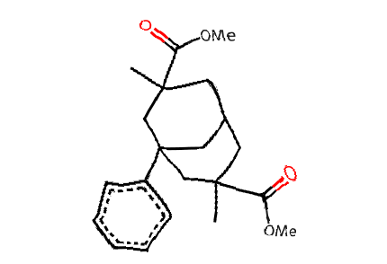 COC(=O)C1(C)CC2CC(C)(C(=O)OC)CC(c3ccccc3)(C2)C1